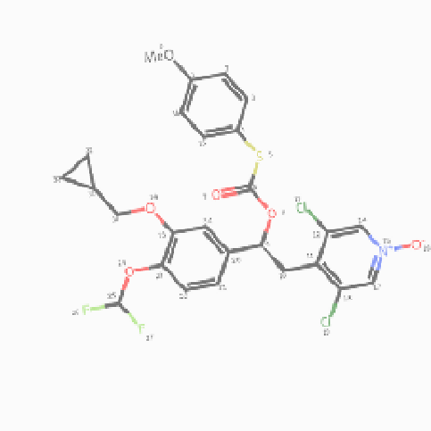 COc1ccc(SC(=O)O[C@@H](Cc2c(Cl)c[n+]([O-])cc2Cl)c2ccc(OC(F)F)c(OCC3CC3)c2)cc1